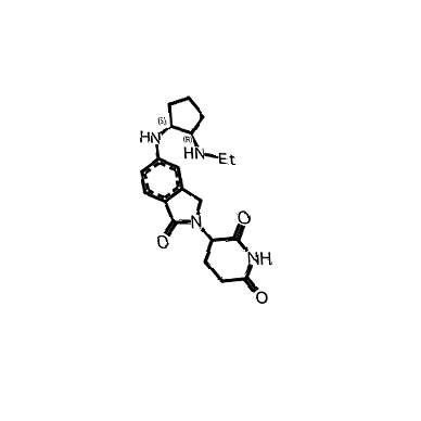 CCN[C@@H]1CCC[C@@H]1Nc1ccc2c(c1)CN(C1CCC(=O)NC1=O)C2=O